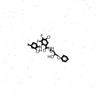 O=C(NOCC(O)COc1ccccc1)c1cc(Cl)c(F)c(F)c1Nc1ccc(I)cc1Cl